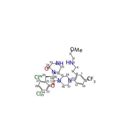 COCCNCCc1cc(C(F)(F)F)ccc1N1CCN(C(=O)[C@@H](Cc2ccc(Cl)cc2Cl)N2CCNCC2=O)CC1